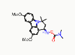 COc1ccc2c(c1)c1cc(OC)cc3c1n2C(C)(C)C/C3=N\OC(=O)N(C)C